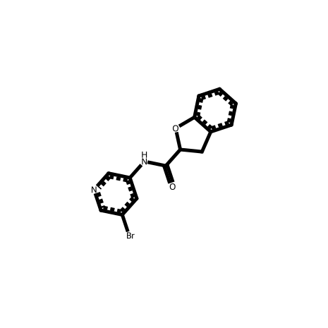 O=C(Nc1cncc(Br)c1)C1Cc2ccccc2O1